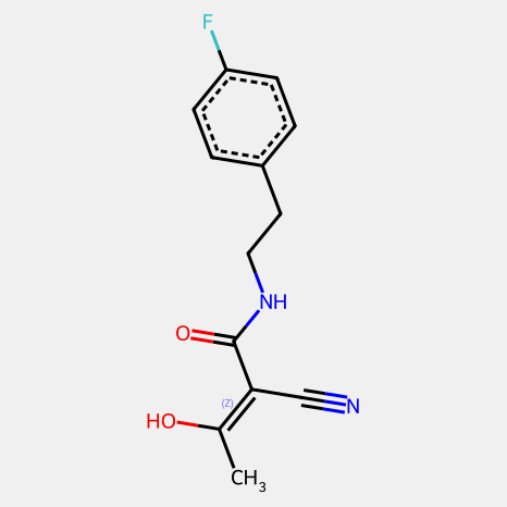 C/C(O)=C(\C#N)C(=O)NCCc1ccc(F)cc1